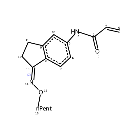 C=CC(=O)Nc1ccc2c(c1)CC/C2=N/OCCCCC